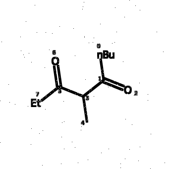 CCCCC(=O)C(C)C(=O)CC